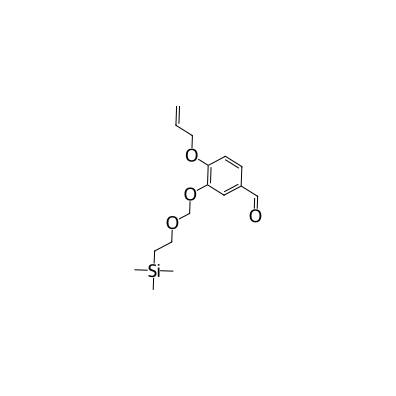 C=CCOc1ccc(C=O)cc1OCOCC[Si](C)(C)C